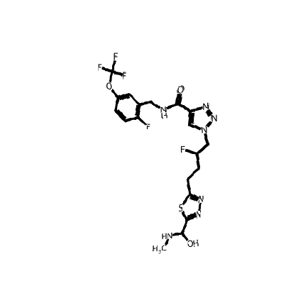 CNC(O)c1nnc(CCC(F)Cn2cc(C(=O)NCc3cc(OC(F)(F)F)ccc3F)nn2)s1